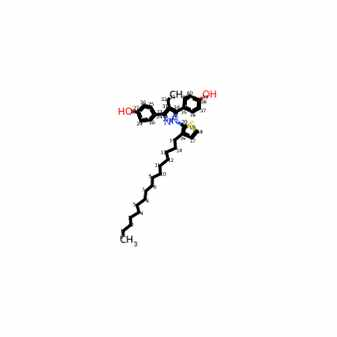 CCCCCCCCCCCCCCCCc1ccsc1-n1nc(-c2ccc(O)cc2)c(CC)c1-c1ccc(O)cc1